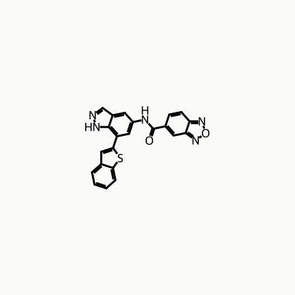 O=C(Nc1cc(-c2cc3ccccc3s2)c2[nH]ncc2c1)c1ccc2nonc2c1